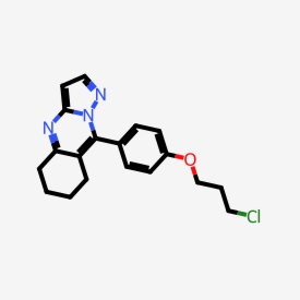 ClCCCOc1ccc(-c2c3c(nc4ccnn24)CCCC3)cc1